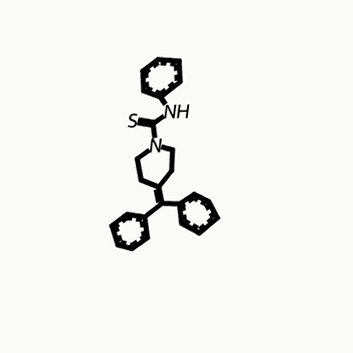 S=C(Nc1ccccc1)N1CCC(=C(c2ccccc2)c2ccccc2)CC1